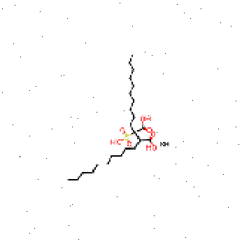 CCCCCCCCCCC(C(=O)O)C(CCCCCCCCCC)(C(=O)O)S(=O)(=O)O.[KH]